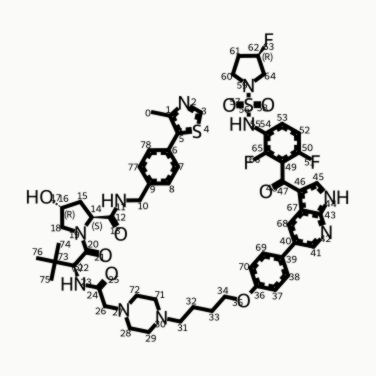 Cc1ncsc1-c1ccc(CNC(=O)[C@@H]2C[C@@H](O)CN2C(=O)[C@@H](NC(=O)CN2CCN(CCCCOc3ccc(-c4cnc5[nH]cc(C(=O)c6c(F)ccc(NS(=O)(=O)N7CC[C@@H](F)C7)c6F)c5c4)cc3)CC2)C(C)(C)C)cc1